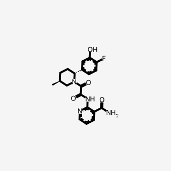 C[C@H]1CC[C@H](c2ccc(F)c(O)c2)N(C(=O)C(=O)Nc2ncccc2C(N)=O)C1